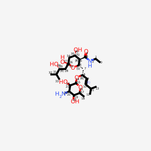 CCNC(=O)[C@H]1[C@H](C[C@H](/C=C/C(C)C)OC2OC(C)C(O)C(N)C2O)O[C@](O)(C[C@@H](O)C(C)C)C[C@@H]1O